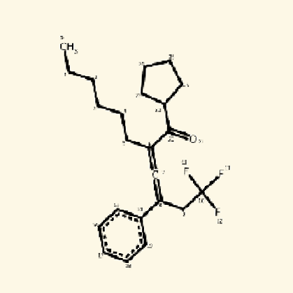 CCCCCCC(=C=C(CC(F)(F)F)c1ccccc1)C(=O)C1CCCC1